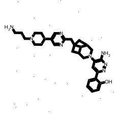 NCCCN1CCC(c2cnc(CC34CC5CN(c6cc(-c7ccccc7O)nnc6N)CC(C3)C54)nc2)CC1